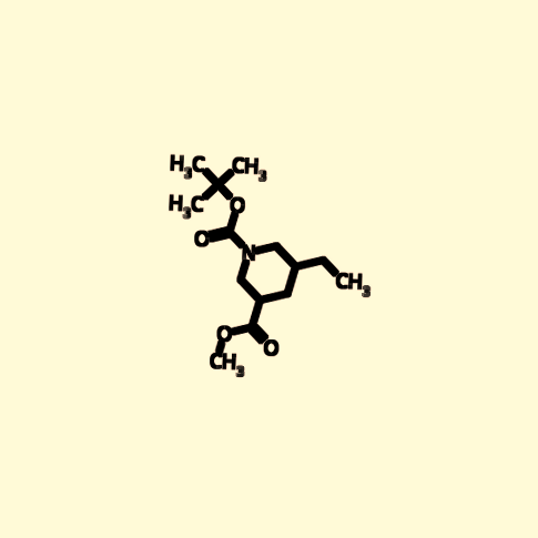 CCC1CC(C(=O)OC)CN(C(=O)OC(C)(C)C)C1